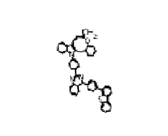 C=C1/C=C\c2c(n(-c3ccc(-c4nc(-c5ccc(-c6cccc7c6sc6ccccc67)cc5)c5ccccc5n4)cc3)c3ccccc23)Cc2ccccc2O1